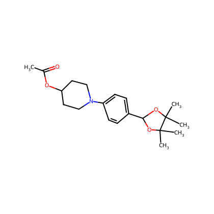 CC(=O)OC1CCN(c2ccc(C3OC(C)(C)C(C)(C)O3)cc2)CC1